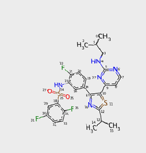 CC(C)CNc1nccc(-c2sc(C(C)C)nc2-c2ccc(F)c(NS(=O)(=O)c3cc(F)ccc3F)c2)n1